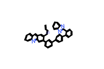 C=C/C=C\c1cc2cc3ccccc3nc2cc1-c1cccc(-c2ccc3c4ccccc4c4nc5ccccc5n4c3c2)c1